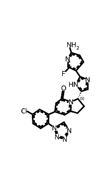 Nc1ccc(-c2ncc([C@@H]3CCc4cc(-c5cc(Cl)ccc5-n5cnnn5)cc(=O)n43)[nH]2)c(F)n1